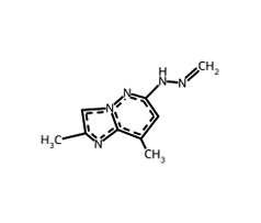 C=NNc1cc(C)c2nc(C)cn2n1